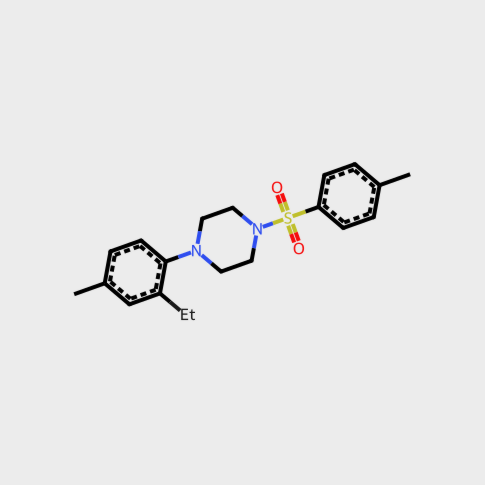 CCc1cc(C)ccc1N1CCN(S(=O)(=O)c2ccc(C)cc2)CC1